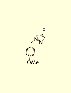 COc1ccc(Cn2cc(F)cn2)cc1